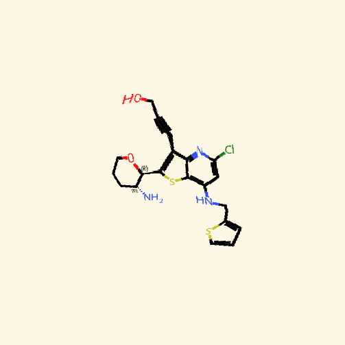 N[C@@H]1CCCO[C@H]1c1sc2c(NCc3cccs3)cc(Cl)nc2c1C#CCO